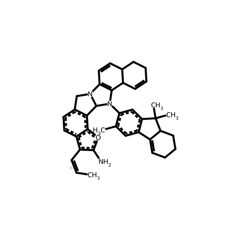 C/C=C\c1c(N)oc2c3c(ccc12)CN1C2=C(C4C=CCCC4C=C2)N(c2cc4c(cc2C)C2=CCCCC2C4(C)C)C31